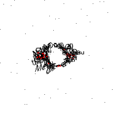 CCCCOC(=O)C[C@H]1C[C@@H](CCNC(=O)[C@@H]2Cc3ccc(cc3)OCc3cn(nn3)C3CCN(C(=O)[C@@H](NC(=O)[C@H](C)N(C)C(=O)OC(C)(C)C)C(C)(C)C)[C@@H]3C(=O)N[C@@H](Cc3ccc4ccccc4c3)C(=O)N[C@H](C(=O)OC)Cc3ccc(cc3)OCc3cn(nn3)C3CCN(C(=O)[C@@H](NC(=O)[C@H](C)N(C)C(=O)OC(C)(C)C)C(C)(C)C)[C@@H]3C(=O)N[C@@H](Cc3ccc4ccccc4c3)C(=O)N2)OC(C)(C)O1